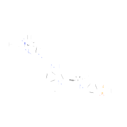 C=C(/N=C\C(=C/C)N1CCC(Nc2cccc3c2cc(C#CCNc2ccc(S(C)(=O)=O)cc2OC)n3CC(F)(F)F)CC1)N(C)C